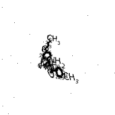 CCCCOc1ccc(C(N)(C(F)(F)F)C(F)(F)C(=O)c2ccc(C)cc2)cc1